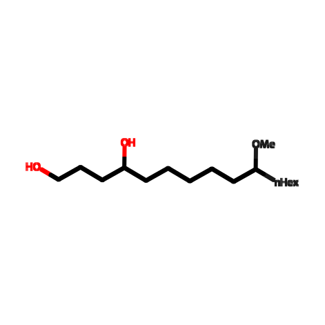 CCCCCCC(CCCCCC(O)CCCO)OC